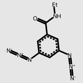 CCNC(=O)c1cc(N=[N+]=[N-])cc(N=[N+]=[N-])c1